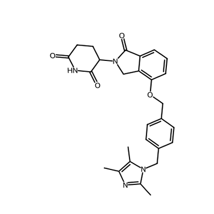 Cc1nc(C)n(Cc2ccc(COc3cccc4c3CN(C3CCC(=O)NC3=O)C4=O)cc2)c1C